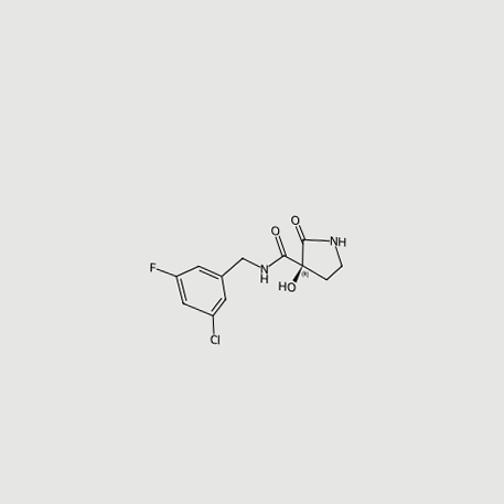 O=C1NCC[C@]1(O)C(=O)NCc1cc(F)cc(Cl)c1